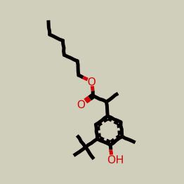 CCCCCCOC(=O)C(C)c1cc(C)c(O)c(C(C)(C)C)c1